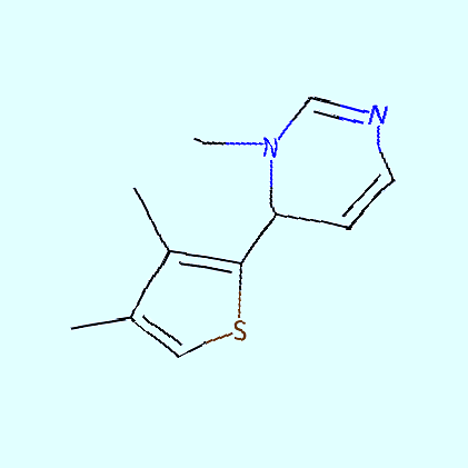 Cc1csc(C2C=CN=CN2C)c1C